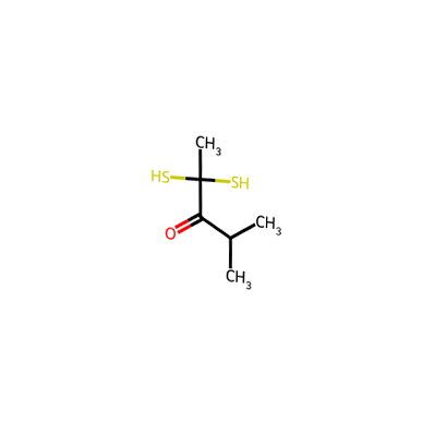 CC(C)C(=O)C(C)(S)S